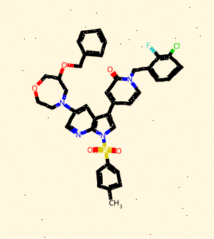 Cc1ccc(S(=O)(=O)n2cc(-c3ccn(Cc4cccc(Cl)c4F)c(=O)c3)c3cc(N4CCOCC(OCc5ccccc5)C4)cnc32)cc1